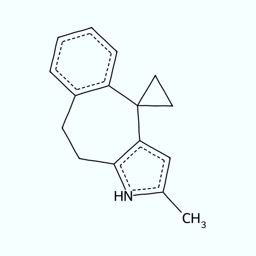 Cc1cc2c([nH]1)CCc1ccccc1C21CC1